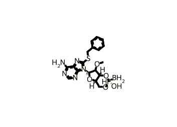 B[PH]1(O)OC[C@H]2O[C@@H](n3c(SCc4ccccc4)nc4c(N)ncnc43)C(OC)[C@@H]2O1